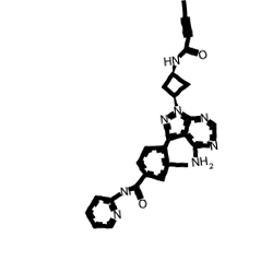 CC#CC(=O)N[C@H]1C[C@@H](n2nc(-c3ccc(C(=O)Nc4ccccn4)cc3C)c3c(N)ncnc32)C1